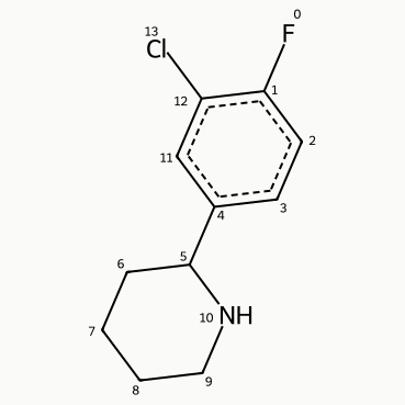 Fc1ccc(C2CCCCN2)cc1Cl